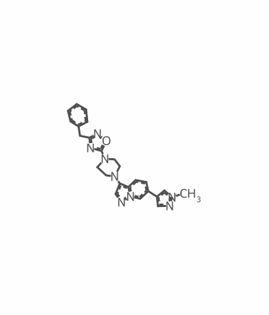 Cn1cc(-c2ccc3c(N4CCN(c5nc(Cc6ccccc6)no5)CC4)cnn3c2)cn1